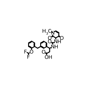 CN1C=CC(=O)C(NC(=O)NC(CC(=O)O)c2cccc(Cc3ccccc3OC(F)F)c2)C1=O